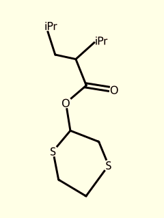 CC(C)CC(C(=O)OC1CSCCS1)C(C)C